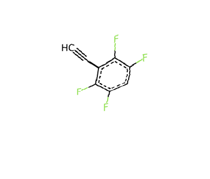 C#Cc1c(F)c(F)cc(F)c1F